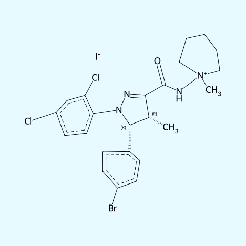 C[C@H]1C(C(=O)N[N+]2(C)CCCCC2)=NN(c2ccc(Cl)cc2Cl)[C@H]1c1ccc(Br)cc1.[I-]